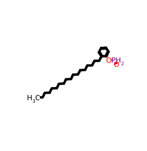 CCCCCCCCCCCCCCCCCCc1ccccc1O[PH2]=O